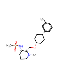 CC(=O)N1CCC[C@H](NS(C)(=O)=O)[C@@H]1CO[C@H]1CC[C@@H](c2cccc(C(F)(F)F)c2)CC1